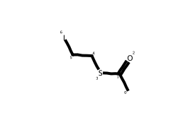 CC(=O)SCCI